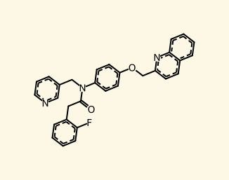 O=C(Cc1ccccc1F)N(Cc1cccnc1)c1ccc(OCc2ccc3ccccc3n2)cc1